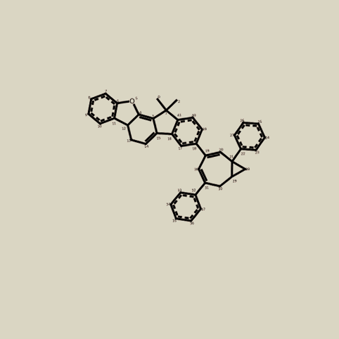 CC1(C)C2=C3Oc4ccccc4C3CC=C2c2cc(C3=CC4(c5ccccc5)CC4CC(c4ccccc4)=C3)ccc21